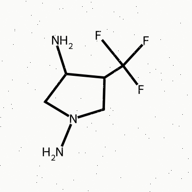 NC1CN(N)CC1C(F)(F)F